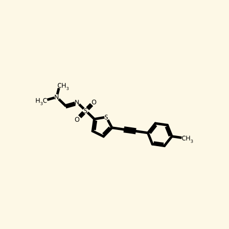 Cc1ccc(C#Cc2ccc(S(=O)(=O)/N=C/N(C)C)s2)cc1